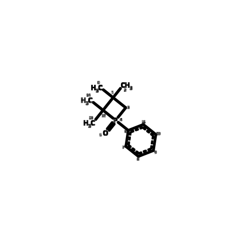 CC1(C)CP(=O)(c2ccccc2)C1(C)C